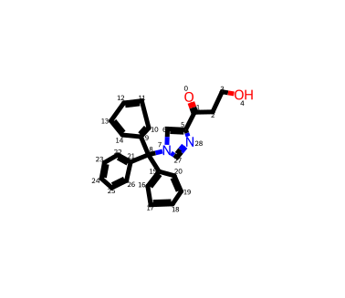 O=C(CCO)c1cn(C(c2ccccc2)(c2ccccc2)c2ccccc2)cn1